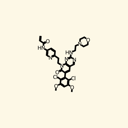 C=CC(=O)Nc1ccc(CCn2c(=O)c(-c3c(Cl)c(OC)cc(OC)c3Cl)cc3cnc(NCCN4CCOCC4)nc32)nc1